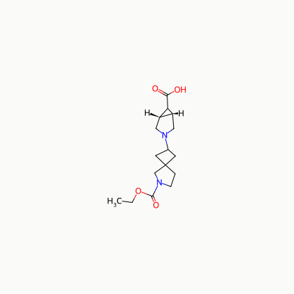 CCOC(=O)N1CCC2(CC(N3C[C@@H]4C(C(=O)O)[C@@H]4C3)C2)C1